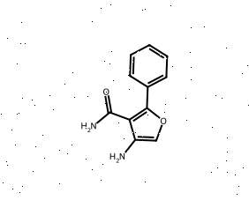 NC(=O)c1c(N)coc1-c1ccccc1